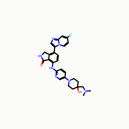 CN(C)CC1(O)CCN(c2ccc(Nc3ccc(-c4cnc5cc(F)ccn45)c4c3C(=O)NC4)nc2)CC1